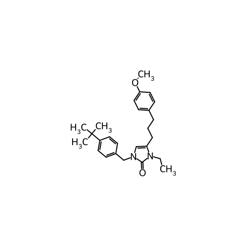 CCn1c(CCCc2ccc(OC)cc2)cn(Cc2ccc(C(C)(C)C)cc2)c1=O